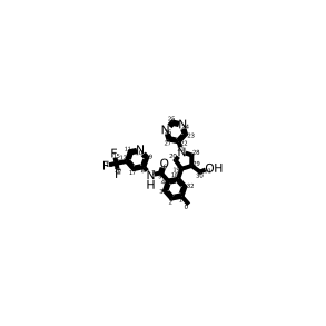 Cc1ccc(C(=O)Nc2cncc(C(F)(F)F)c2)c(C2CN(c3cncnc3)CC2CO)c1